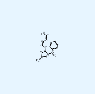 [O-][S+](c1ccccc1)N1CC(C(F)(F)F)CC1C/C=C\C=C/S